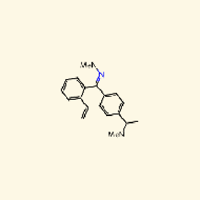 C=Cc1ccccc1/C(=N\NC)c1ccc(C(C)NC)cc1